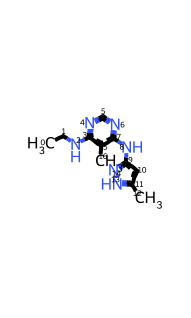 CCNc1ncnc(Nc2cc(C)[nH]n2)c1C